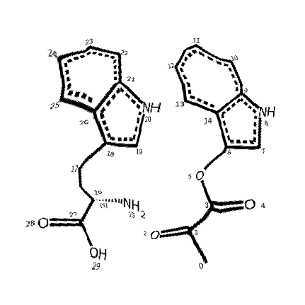 CC(=O)C(=O)Oc1c[nH]c2ccccc12.N[C@@H](Cc1c[nH]c2ccccc12)C(=O)O